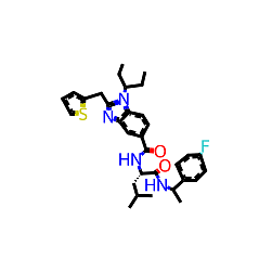 CCC(CC)n1c(Cc2cccs2)nc2cc(C(=O)N[C@@H](CC(C)C)C(=O)NC(C)c3ccc(F)cc3)ccc21